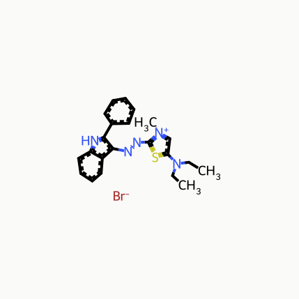 CCN(CC)c1c[n+](C)c(N=Nc2c(-c3ccccc3)[nH]c3ccccc23)s1.[Br-]